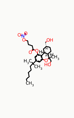 CCCCCCC(C)(C)c1cc(OC(=O)CCCO[N+](=O)[O-])c2c(c1)O[C@@](C)(CO)[C@@H]1CC[C@@H](CO)C[C@@H]21